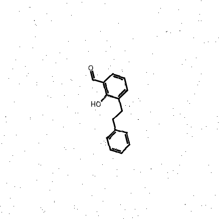 O=Cc1cccc(CCc2ccccc2)c1O